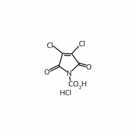 Cl.O=C(O)N1C(=O)C(Cl)=C(Cl)C1=O